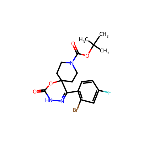 CC(C)(C)OC(=O)N1CCC2(CC1)OC(=O)NN=C2c1ccc(F)cc1Br